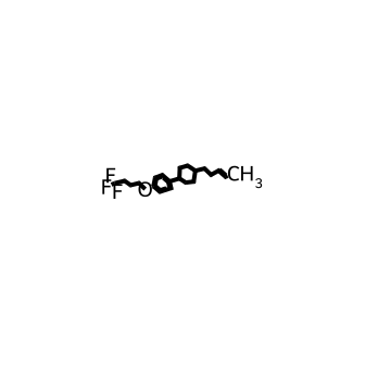 C/C=C/CCC1CCC(c2ccc(OCCCC(F)(F)F)cc2)CC1